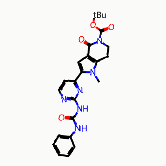 Cn1c(-c2ccnc(NC(=O)Nc3ccccc3)n2)cc2c1CCN(C(=O)OC(C)(C)C)C2=O